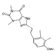 COc1ccc(/C=C/c2nc3c([nH]2)c(=O)n(C)c(=O)n3C)c(C)c1C